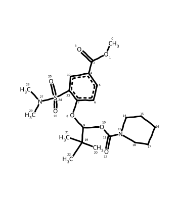 COC(=O)c1ccc(OC(OC(=O)N2CCCCC2)C(C)(C)C)c(S(=O)(=O)N(C)C)c1